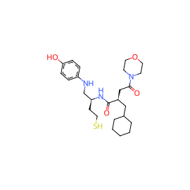 O=C(N[C@@H](CCS)CNc1ccc(O)cc1)[C@@H](CC(=O)N1CCOCC1)CC1CCCCC1